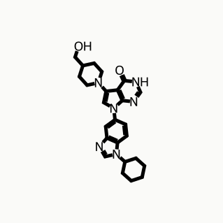 O=c1[nH]cnc2c1c(N1CCC(CO)CC1)cn2-c1ccc2c(c1)ncn2C1CCCCC1